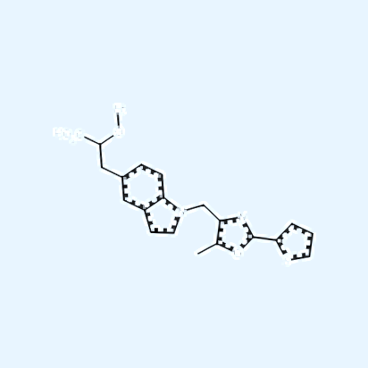 CCOC(Cc1ccc2c(ccn2Cc2nc(-c3cccs3)oc2C)c1)C(=O)O